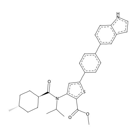 COC(=O)c1sc(-c2ccc(-c3ccc4[nH]ccc4c3)cc2)cc1N(C(=O)[C@H]1CC[C@H](C)CC1)C(C)C